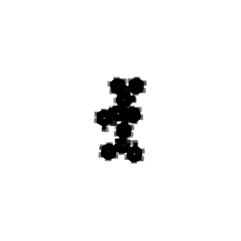 CC1C=C(C2=CC3(C)C4=C(OC3C3N(c5ccc(-c6nc(-c7ccccc7)cc(C7CC=CC[C@@H]7C)n6)cc5)c5ccccc5C23C)[C@@H](C)CC=C4)C=C2c3ccccc3N(c3ccccc3)C21